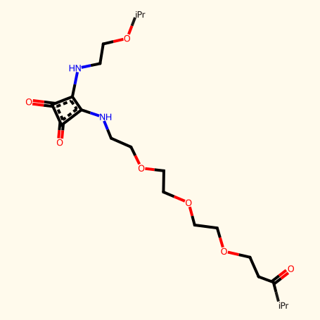 CC(C)OCCNc1c(NCCOCCOCCOCCC(=O)C(C)C)c(=O)c1=O